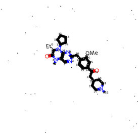 CC[C@H]1C(=O)N(C)c2cnc(Cc3ccc(C(=O)CC4CCN(C)CC4)cc3OC)nc2N1C1CCCC1